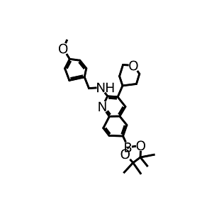 COc1ccc(CNc2nc3ccc(B4OC(C)(C)C(C)(C)O4)cc3cc2C2CCOCC2)cc1